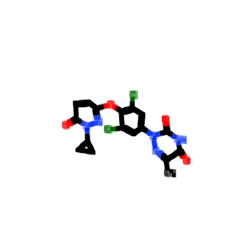 N#Cc1nn(-c2cc(Cl)c(Oc3ccc(=O)n(C4CC4)n3)c(Cl)c2)c(=O)[nH]c1=O